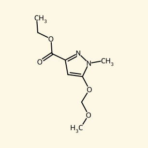 CCOC(=O)c1cc(OCOC)n(C)n1